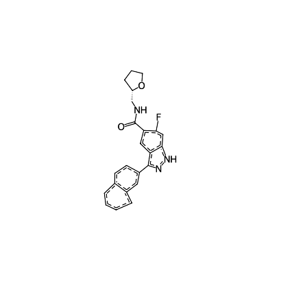 O=C(NC[C@@H]1CCCO1)c1cc2c(-c3ccc4ccccc4c3)n[nH]c2cc1F